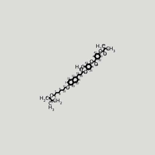 C=C(C)C(=C)OCCCCCCOc1ccc2cc(/C=C/C(=O)Oc3ccc(OC(=O)c4ccc(OC(=O)C(=C)C)cc4)cc3C)ccc2c1